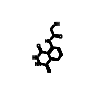 O=C(CS)Nc1cccc2c(=O)[nH][nH]c(=O)c12